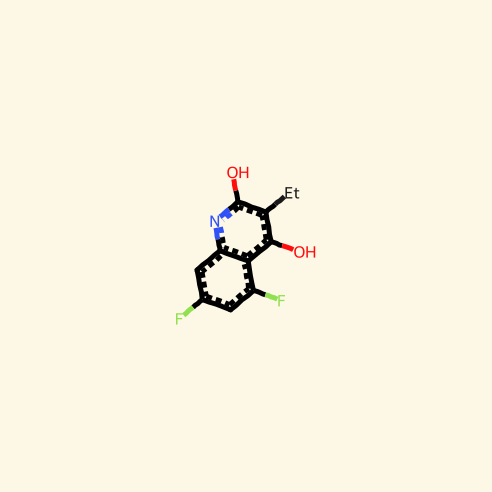 CCc1c(O)nc2cc(F)cc(F)c2c1O